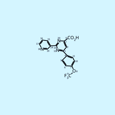 O=C(O)c1cc(-c2ccc(OC(F)(F)F)cc2)nc(-c2cccnc2)n1